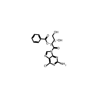 Nc1nc(Cl)c2ncn(C(=O)[C@H](OC(=O)c3ccccc3)[C@@H](O)CO)c2n1